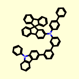 C1=Cc2c(n(-c3ccccc3)c3ccc(-c4cccc(-c5cccc(N(C6=CC7C(C=C6)c6ccccc6C76c7ccccc7-c7ccccc76)c6ccc(-c7ccccc7)cc6)c5)c4)cc23)CC1